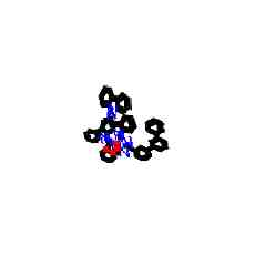 c1ccc(-c2cccc(-c3cccc(-c4nc(-c5ccccc5)nc(-n5c6ccccc6c6c(-n7c8ccccc8c8ccccc87)cc7c8ccccc8n(-c8ccccc8)c7c65)n4)c3)c2)cc1